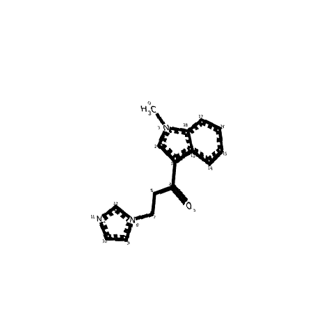 Cn1cc(C(=O)CCn2ccnc2)c2ccccc21